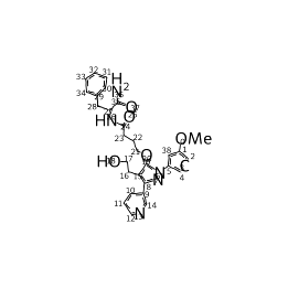 COc1cccc(-n2nc(-c3cccnc3)c(CCO)c2OCCCC(=O)N[C@@H](Cc2ccccc2)C(N)=O)c1